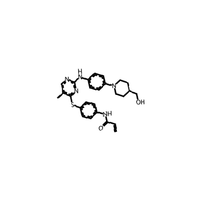 C=CC(=O)Nc1ccc(Sc2nc(Nc3ccc(N4CCC(CO)CC4)cc3)ncc2C)cc1